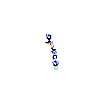 Cc1sc(OCc2cnn(C3CCN(c4ncc(Cl)cn4)CC3)n2)nc1-c1cccnc1